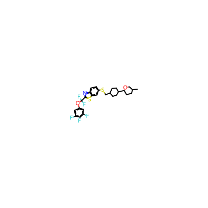 CC1CCC(C2CCC(CSc3ccc4nc(C(F)(F)Oc5cc(F)c(F)c(F)c5)sc4c3)CC2)OC1